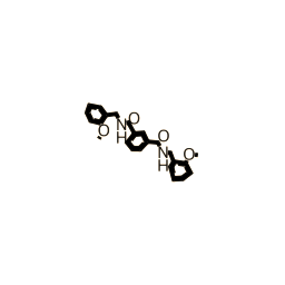 COc1ccccc1CNC(=O)c1cccc(C(=O)NCc2ccccc2OC)c1